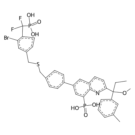 CCC(OC)(c1cccc(C)c1)c1ccc2cc(-c3ccc(CSCc4ccc(C(F)(F)P(=O)(O)O)c(Br)c4)cc3)cc(P(=O)(O)O)c2n1